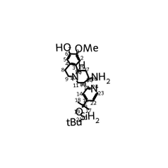 COc1cc2c(cc1O)CCN1C[C@@H](c3cc(C(C)(C)O[SiH2]C(C)(C)C)ccn3)[C@H](N)C[C@H]21